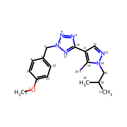 COc1ccc(Cn2nnc(-c3cnn(CC(C)C)c3I)n2)cc1